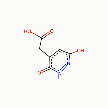 O=C(O)Cc1cc(O)n[nH]c1=O